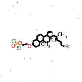 CC(C)CCC[C@@H](C)[C@H]1CCC2C3CC=C4C[C@@H](OCCOP(=O)(Cl)Cl)CC[C@]4(C)C3CC[C@@]21C